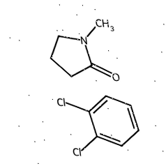 CN1CCCC1=O.Clc1ccccc1Cl